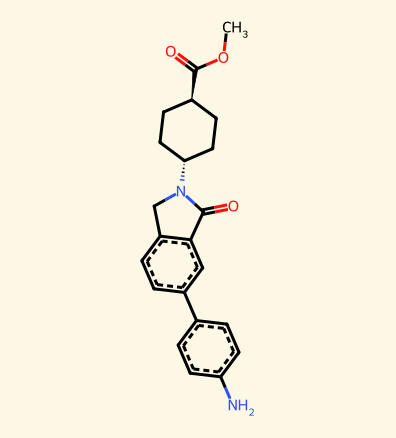 COC(=O)[C@H]1CC[C@H](N2Cc3ccc(-c4ccc(N)cc4)cc3C2=O)CC1